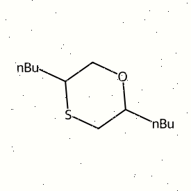 CCCCC1CSC(CCCC)CO1